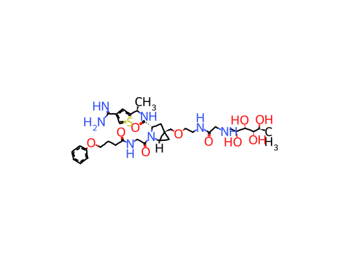 C[C@H](O)[C@H](O)[C@@H](O)[C@@H](O)CNCC(=O)NCCOC[C@@]12C[C@@H]1N(C(=O)CNC(=O)CCCOc1ccccc1)[C@H](C(=O)N[C@H](C)c1cc(C(=N)N)cs1)C2